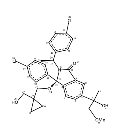 COCC(C)(O)c1ccc2c(c1)C(=O)N([C@@H](C)c1ccc(Cl)cc1)[C@@]2(OCC1(CO)CC1)c1ccc(Cl)cc1